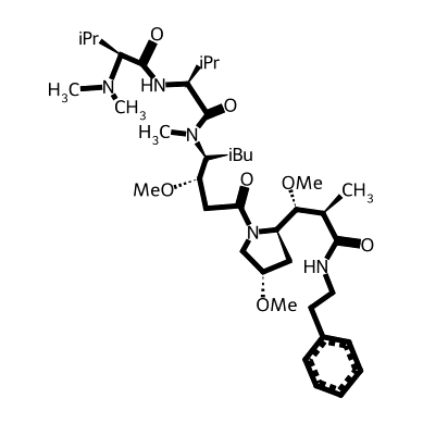 CC[C@H](C)[C@@H]([C@H](CC(=O)N1C[C@@H](OC)C[C@@H]1[C@H](OC)[C@@H](C)C(=O)NCCc1ccccc1)OC)N(C)C(=O)[C@@H](NC(=O)[C@H](C(C)C)N(C)C)C(C)C